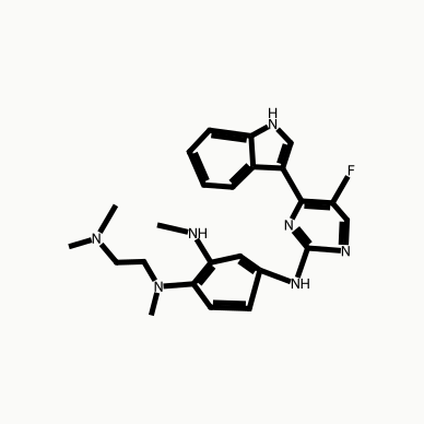 CNc1cc(Nc2ncc(F)c(-c3c[nH]c4ccccc34)n2)ccc1N(C)CCN(C)C